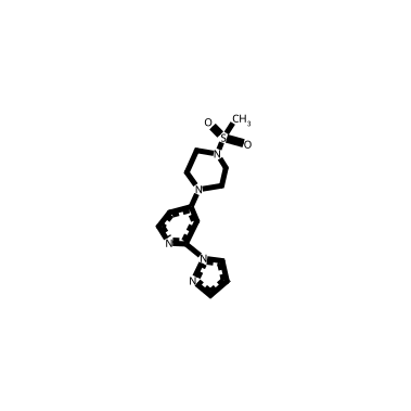 CS(=O)(=O)N1CCN(c2ccnc(-n3c[c]cn3)c2)CC1